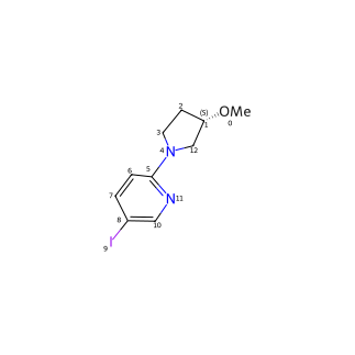 CO[C@H]1CCN(c2ccc(I)cn2)C1